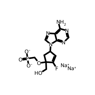 Nc1ncnc2c1ncn2C1C=C(F)C(CO)(OCP(=O)([O-])[O-])C1.[Na+].[Na+]